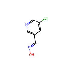 O/N=C/c1cncc(Cl)c1